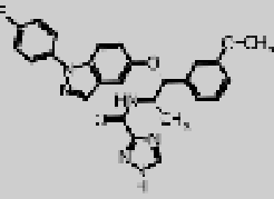 COc1cccc([C@@H](Oc2ccc3c(cnn3-c3ccc(F)cc3)c2)[C@H](C)NC(=O)c2nc[nH]n2)c1